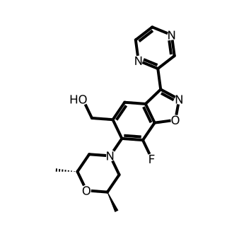 C[C@@H]1CN(c2c(CO)cc3c(-c4cnccn4)noc3c2F)C[C@@H](C)O1